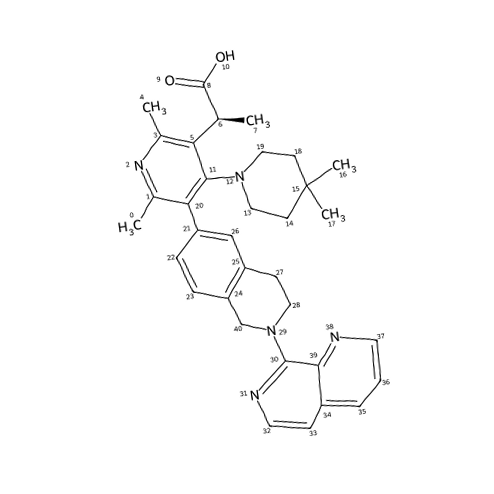 Cc1nc(C)c([C@H](C)C(=O)O)c(N2CCC(C)(C)CC2)c1-c1ccc2c(c1)CCN(c1nccc3cccnc13)C2